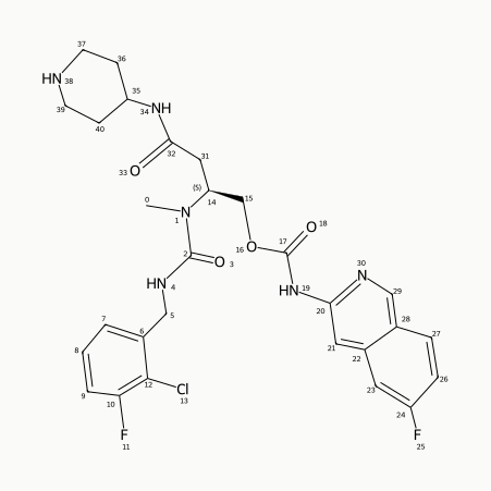 CN(C(=O)NCc1cccc(F)c1Cl)[C@H](COC(=O)Nc1cc2cc(F)ccc2cn1)CC(=O)NC1CCNCC1